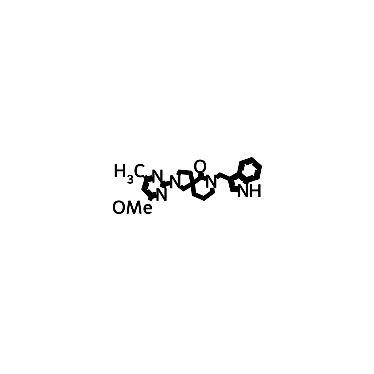 COc1cc(C)nc(N2CCC3(CCCN(Cc4c[nH]c5ccccc45)C3=O)C2)n1